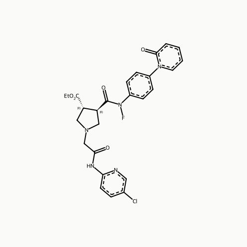 CCOC(=O)[C@H]1CN(CC(=O)Nc2ccc(Cl)cn2)C[C@@H]1C(=O)N(F)c1ccc(-n2ccccc2=O)cc1